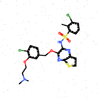 Cc1c(Cl)cccc1S(=O)(=O)Nc1nc2ccsc2nc1OCc1ccc(Cl)c(OCCN(C)C)c1